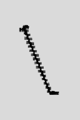 CCCCCCCCCCCCCCCCCCCCCCCCCCCCCCCCCCCCCCCCNCCC